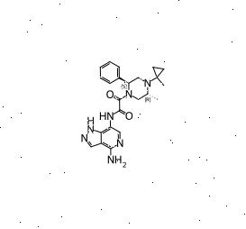 C[C@@H]1CN(C(=O)C(=O)Nc2cnc(N)c3cn[nH]c23)[C@@H](c2ccccc2)CN1C1(C)CC1